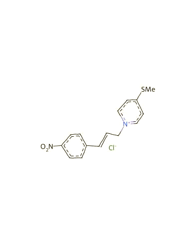 CSc1cc[n+](CC=Cc2ccc([N+](=O)[O-])cc2)cc1.[Cl-]